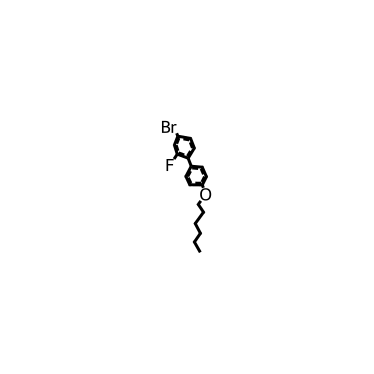 CCCCCCOc1ccc(-c2ccc(Br)cc2F)cc1